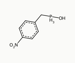 O=[N+]([O-])c1ccc(C[PH3]O)cc1